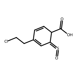 O=S=C1C=C(CCCl)C=CC1C(=O)O